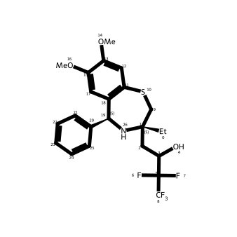 CC[C@]1(CC(O)C(F)(F)C(F)(F)F)CSc2cc(OC)c(OC)cc2[C@H](c2ccccc2)N1